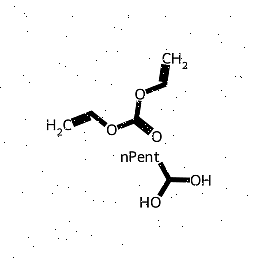 C=COC(=O)OC=C.CCCCCC(O)O